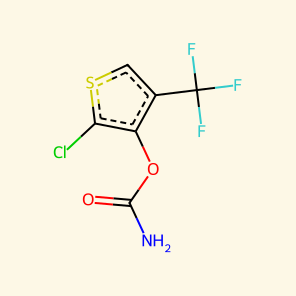 NC(=O)Oc1c(C(F)(F)F)csc1Cl